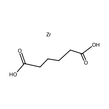 O=C(O)CCCCC(=O)O.[Zr]